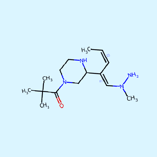 C/C=C\C(=C/N(C)N)C1CN(C(=O)C(C)(C)C)CCN1